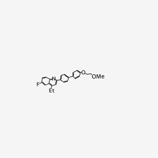 CCc1cc(-c2ccc(-c3ccc(OCCOC)cc3)cc2)nc2ccc(F)cc12